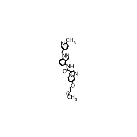 COCCOc1ccn2c(C(=O)Nc3cccc4c3cnn4Cc3ccc(C)nc3)cnc2c1